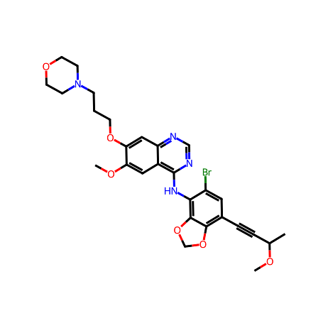 COc1cc2c(Nc3c(Br)cc(C#CC(C)OC)c4c3OCO4)ncnc2cc1OCCCN1CCOCC1